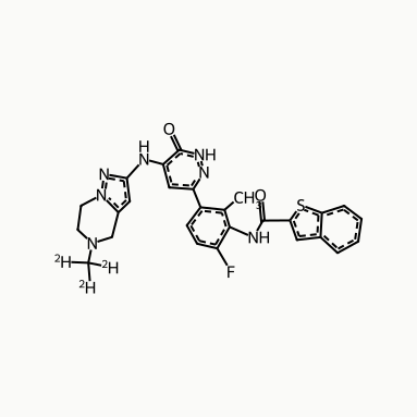 [2H]C([2H])([2H])N1CCn2nc(Nc3cc(-c4ccc(F)c(NC(=O)c5cc6ccccc6s5)c4C)n[nH]c3=O)cc2C1